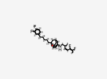 C/C(F)=C(F)\C=C/C(C)CNC12CCC3(CCCCCc4ccc(F)c(F)c4)CC(CC(C3)C1)C2